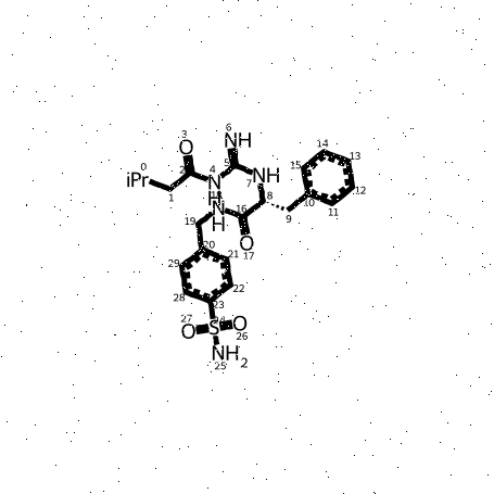 CC(C)CC(=O)NC(=N)N[C@H](Cc1ccccc1)C(=O)NCc1ccc(S(N)(=O)=O)cc1